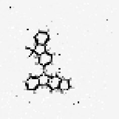 CC1(C)c2ccccc2-c2ccc(-n3c4ccccc4c4cc5sccc5cc43)cc21